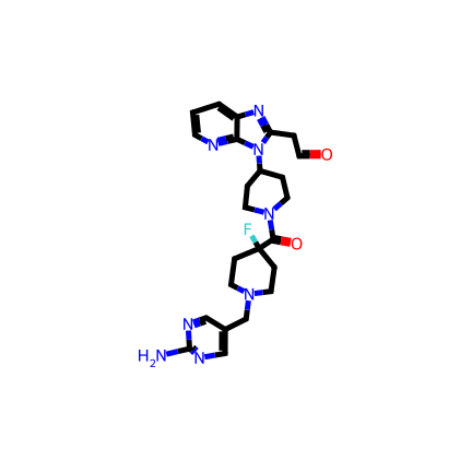 Nc1ncc(CN2CCC(F)(C(=O)N3CCC(n4c(CC=O)nc5cccnc54)CC3)CC2)cn1